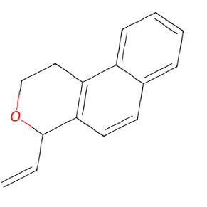 C=CC1OCCc2c1ccc1ccccc21